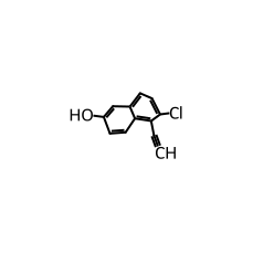 C#Cc1c(Cl)ccc2cc(O)ccc12